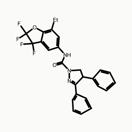 CCc1cc(NC(=O)N2CC(c3ccccc3)C(c3ccccc3)=N2)cc2c1OC(F)(F)C2(F)F